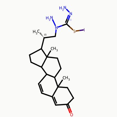 C[C@H](CN(N)/C(=N\N)SI)C1CCC2C3C=CC4=CC(=O)CCC4(C)C3CCC21C